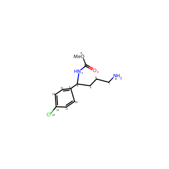 COC(=O)NC(CCCN)c1ccc(Cl)cc1